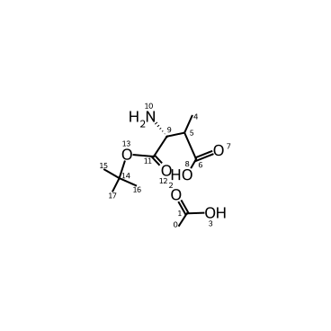 CC(=O)O.CC(C(=O)O)[C@@H](N)C(=O)OC(C)(C)C